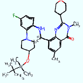 Cc1cc([C@@H](C)Nc2ccc(F)cc2N2CCC(O[Si](C)(C)C(C)(C)C)CC2)c2nc(C3CCOCC3)n(C)c(=O)c2c1